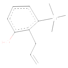 C=CCc1c(O)cccc1[Si](C)(C)C